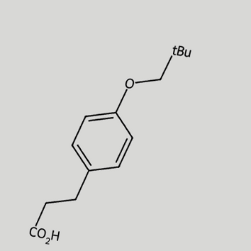 CC(C)(C)COc1ccc(CCC(=O)O)cc1